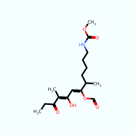 CCC(=O)/C(C)=C(O)/C=C(\OC=O)C(C)CCCCNC(=O)OC